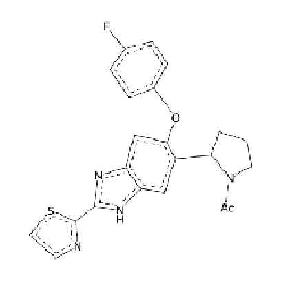 CC(=O)N1CCCC1c1cc2[nH]c(-c3nccs3)nc2cc1Oc1ccc(F)cc1